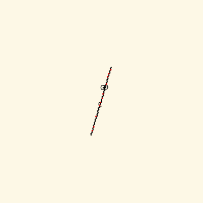 CCCCCCCCCCCCCCCCCCCCCCCCCCCCCCCCCC(=O)OCCCCCCCCCCCCCC